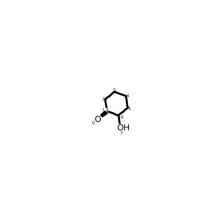 O=[I]1CCCCC1O